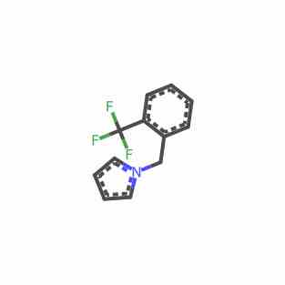 FC(F)(F)c1ccccc1Cn1cccc1